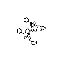 CCCCCCCCN(C[C@H](Cc1ccccc1)NC(=O)OCc1cncs1)C[C@H](Cc1ccccc1)NC(=O)OCc1cncs1